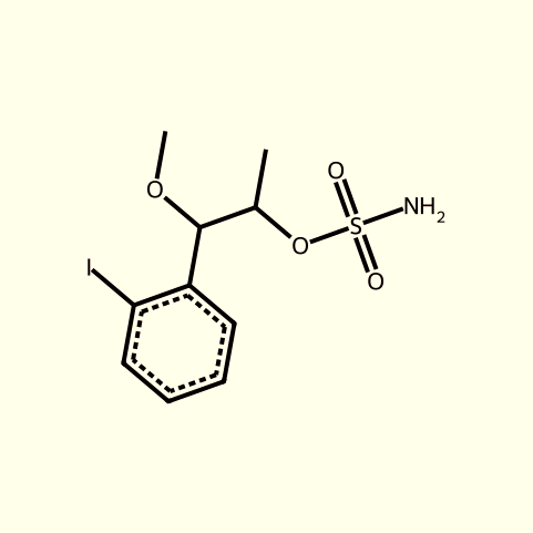 COC(c1ccccc1I)C(C)OS(N)(=O)=O